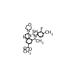 COC(=O)c1cc(C(C)N(CS)c2ccc(C)c(F)c2)c2nc(N3CCOCC3)cnc2c1